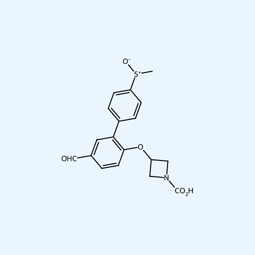 C[S+]([O-])c1ccc(-c2cc(C=O)ccc2OC2CN(C(=O)O)C2)cc1